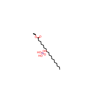 C=COC(=O)CCCCCCCCCCCCCCCCC.O=P(O)(O)O